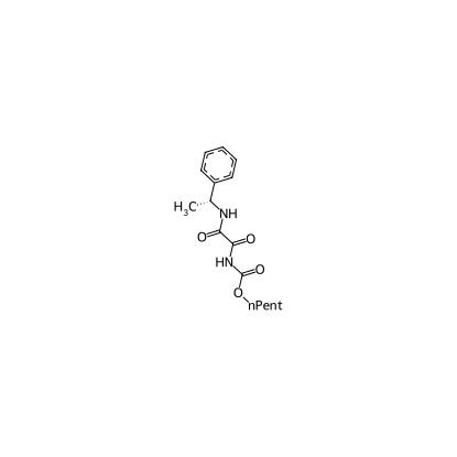 CCCCCOC(=O)NC(=O)C(=O)N[C@H](C)c1ccccc1